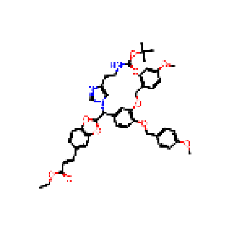 CCOC(=O)/C=C/c1ccc2c(c1)OC(C(c1ccc(OCc3ccc(OC)cc3)c(OCc3ccc(OC)cc3)c1)n1cnc(CCNC(=O)OC(C)(C)C)c1)O2